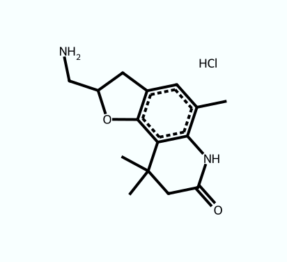 Cc1cc2c(c3c1NC(=O)CC3(C)C)OC(CN)C2.Cl